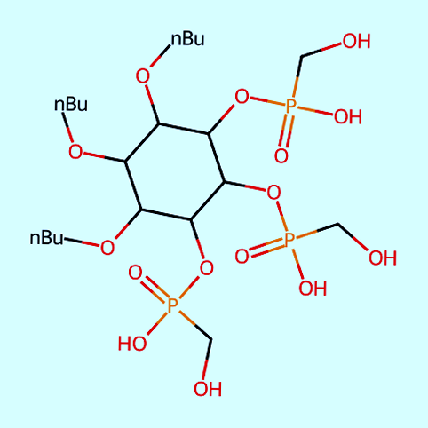 CCCCOC1C(OCCCC)C(OP(=O)(O)CO)C(OP(=O)(O)CO)C(OP(=O)(O)CO)C1OCCCC